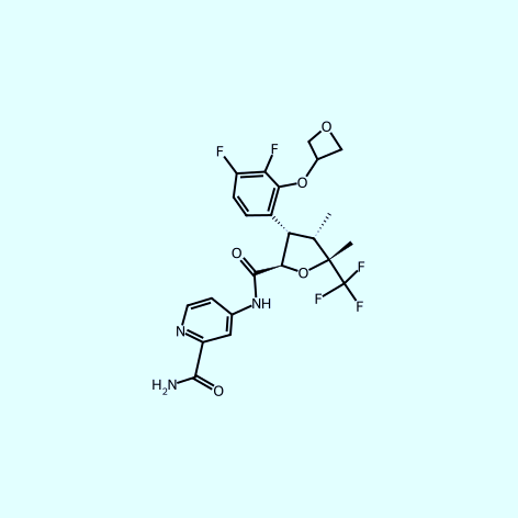 C[C@H]1[C@@H](c2ccc(F)c(F)c2OC2COC2)[C@H](C(=O)Nc2ccnc(C(N)=O)c2)O[C@@]1(C)C(F)(F)F